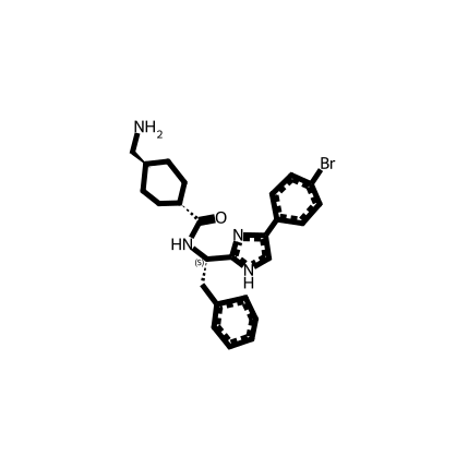 NC[C@H]1CC[C@H](C(=O)N[C@@H](Cc2ccccc2)c2nc(-c3ccc(Br)cc3)c[nH]2)CC1